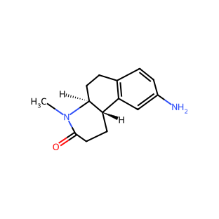 CN1C(=O)CC[C@H]2c3cc(N)ccc3CC[C@@H]21